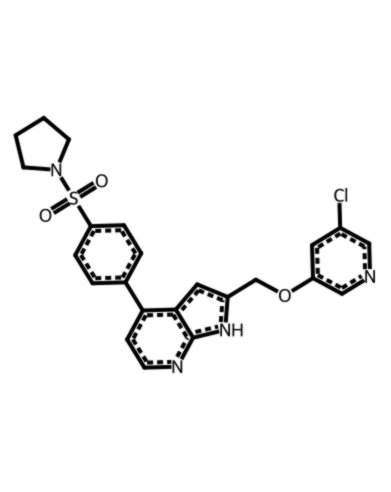 O=S(=O)(c1ccc(-c2ccnc3[nH]c(COc4cncc(Cl)c4)cc23)cc1)N1CCCC1